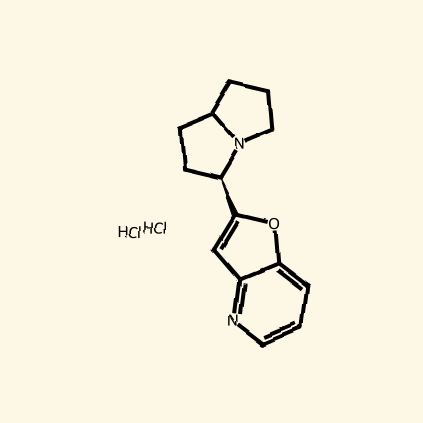 Cl.Cl.c1cnc2cc([C@H]3CCC4CCCN43)oc2c1